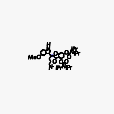 COc1ccc2[nH]cc(/C(CCCN(C)C)=C3\Oc4cc(OC(=O)N(C(C)C)C(C)C)cc(OC(=O)N(C(C)C)C(C)C)c4C3=O)c2c1